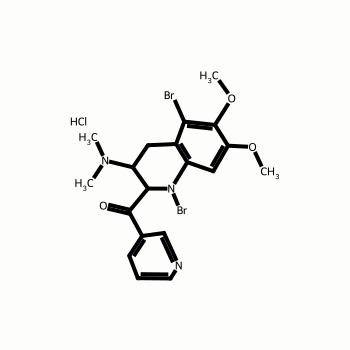 COc1cc2c(c(Br)c1OC)CC(N(C)C)C(C(=O)c1cccnc1)N2Br.Cl